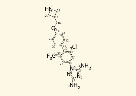 Nc1nc(N)n(-c2cc(Cl)c(-c3ccc(OCC4CNC4)cc3)c(C(F)(F)F)c2)n1